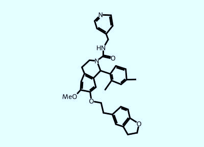 COc1cc2c(cc1OCCc1ccc3c(c1)CCO3)C(c1ccc(C)cc1C)N(C(=O)NCc1ccncc1)CC2